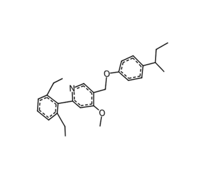 CCc1cccc(CC)c1-c1cc(OC)c(COc2ccc(C(C)CC)cc2)cn1